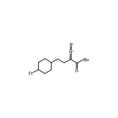 CCC1CCC(CCC(=[N+]=[N-])C(=O)C(C)(C)C)CC1